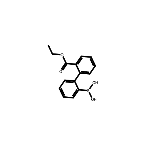 CCOC(=O)c1ccccc1-c1ccccc1B(O)O